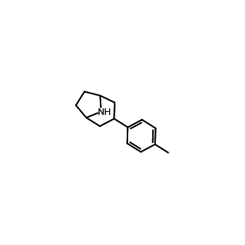 Cc1ccc(C2CC3CCC(C2)N3)cc1